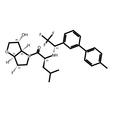 Cc1ccc(-c2cccc([C@H](N[C@@H](CC(C)C)C(=O)N3C[C@H](F)[C@H]4OC[C@H](O)[C@H]43)C(F)(F)F)c2)cc1